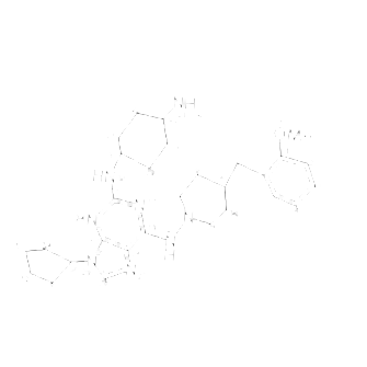 COc1ccccc1CC1CCN(Nc2nc(NC3CCC(N)CC3)nc3c2ncn3C2CCCC2)CC1